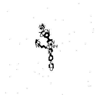 C[C@@H](Cn1cnnn1)Oc1cc(-c2cnc(Nc3cn(C4CCC(N5CCOCC5)CC4)nc3OCCCc3nccs3)nc2)ccc1C#N